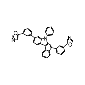 c1ccc(-n2c3cc(-c4cccc(-c5cnco5)c4)ccc3c3c4ccccc4c(-c4cccc(-c5cnco5)c4)cc32)cc1